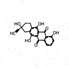 C#CC1(O)CCc2c(O)c3c(c(O)c2C1)C(=O)c1cccc(O)c1C3=O